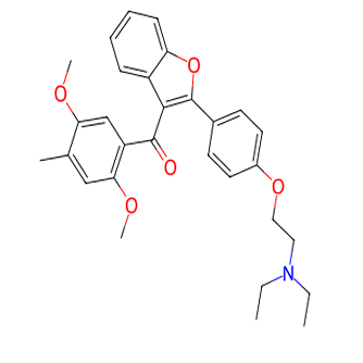 CCN(CC)CCOc1ccc(-c2oc3ccccc3c2C(=O)c2cc(OC)c(C)cc2OC)cc1